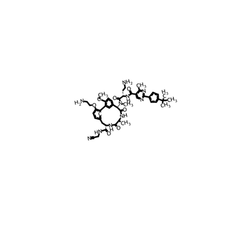 COc1ccc2cc1-c1cc(ccc1OCCN)C[C@@H](C(=O)NCC#N)NC(=O)C(C)NC(=O)[C@H]2N(C)C(=O)[C@H](CCN)NC(=O)c1cnc(-c2ccc(C(C)(C)C)cc2)nc1C